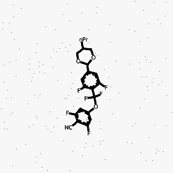 CCCC1COC(c2cc(F)c(C(F)(F)Oc3cc(F)c(C#N)c(F)c3)c(F)c2)OC1